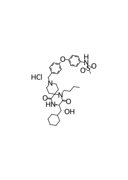 CCCCN1C(=O)[C@@H]([C@H](O)C2CCCCC2)NC(=O)C12CCN(Cc1ccc(Oc3ccc(NS(C)(=O)=O)cc3)cc1)CC2.Cl